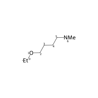 C[CH]OCCCCNC